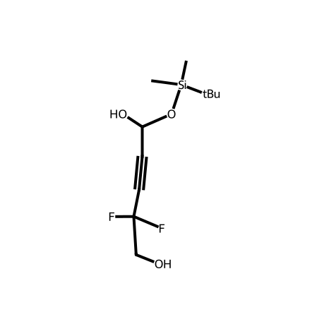 CC(C)(C)[Si](C)(C)OC(O)C#CC(F)(F)CO